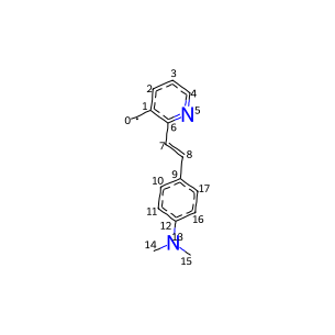 [CH2]c1cccnc1C=Cc1ccc(N(C)C)cc1